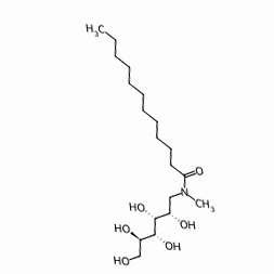 CCCCCCCCCCCC(=O)N(C)C[C@H](O)[C@@H](O)[C@H](O)[C@H](O)CO